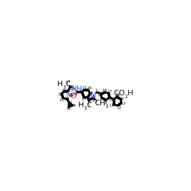 Cc1c(C)n(Cc2ccc(-c3ccccc3C(=O)O)cc2)c2ccc(C(=O)N[C@H](C)c3cccc(C4CC4)n3)cc12